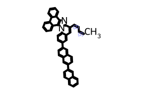 C/C=C\C=C/c1cc2cc(-c3ccc4cc(-c5ccc6ccccc6c5)ccc4c3)ccc2n2c1nc1c3ccccc3c3ccccc3c12